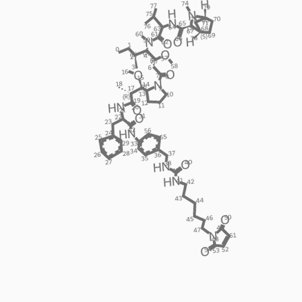 CC[C@H](C)[C@@H]([C@@H](CC(=O)N1CCCC1[C@H](OC)[C@@H](C)C(=O)NC(Cc1ccccc1)C(=O)Nc1ccc(CNC(=O)NCCCCCCN2C(=O)C=CC2=O)cc1)OC)N(C)C(=O)C(NC(=O)[C@@H]1[C@H]2CC[C@H](C2)N1C)C(C)C